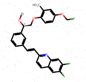 CCO[C@@H](COc1ccc(OCF)cc1C(=O)O)c1cccc(/C=C/c2ccc3cc(F)c(F)cc3n2)c1